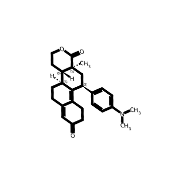 CN(C)c1ccc([C@@H]2C[C@]3(C)C(=O)OCC[C@H]3[C@@H]3CCC4=CC(=O)CCC4=C23)cc1